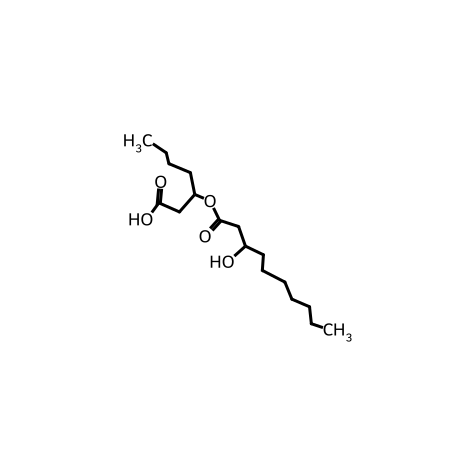 CCCCCCCC(O)CC(=O)OC(CCCC)CC(=O)O